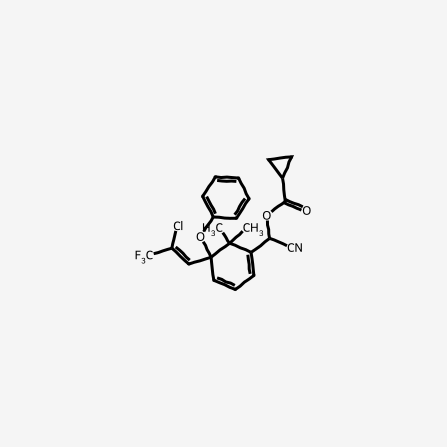 CC1(C)C(C(C#N)OC(=O)C2CC2)=CC=CC1(C=C(Cl)C(F)(F)F)Oc1ccccc1